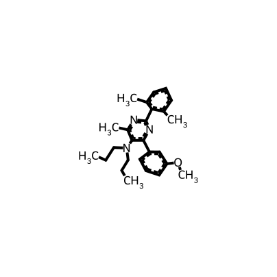 CCCN(CCC)c1c(C)nc(-c2c(C)cccc2C)nc1-c1cccc(OC)c1